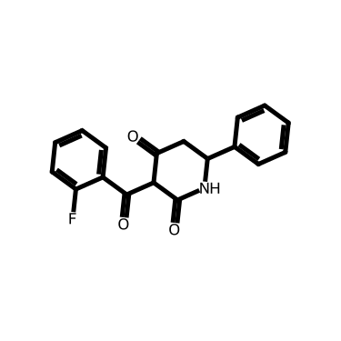 O=C1CC(c2ccccc2)NC(=O)C1C(=O)c1ccccc1F